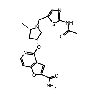 CC(=O)Nc1ncc(CN2C[C@H](Oc3nccc4oc(C(N)=O)cc34)C[C@@H]2C)s1